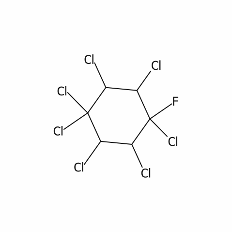 FC1(Cl)C(Cl)C(Cl)C(Cl)(Cl)C(Cl)C1Cl